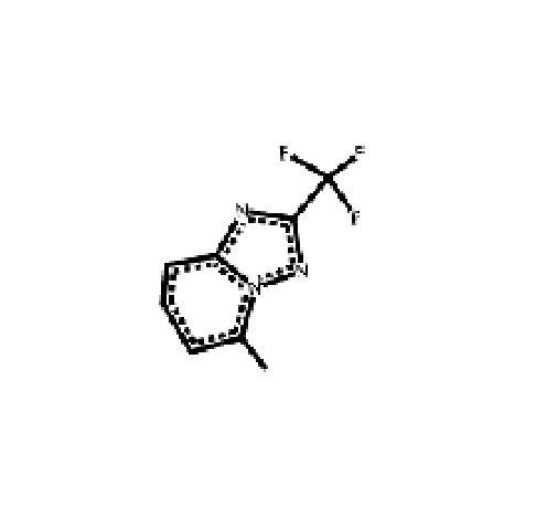 Cc1cccc2nc(C(F)(F)F)nn12